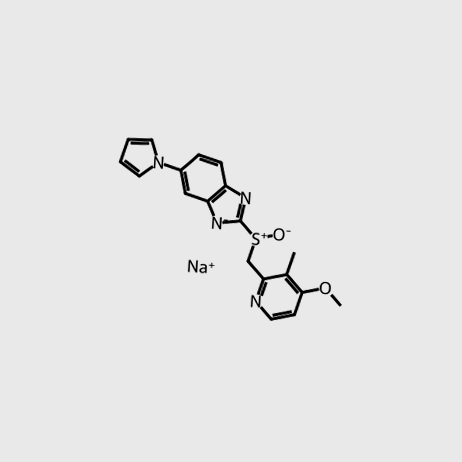 COc1ccnc(C[S+]([O-])c2nc3ccc(-n4cccc4)cc3[n-]2)c1C.[Na+]